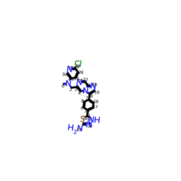 CN(Cc1cn2c(-c3ccc(C4NN=C(N)S4)cc3)cnc2cn1)c1ccc(Cl)nc1